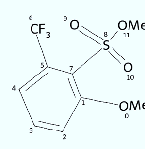 COc1cccc(C(F)(F)F)c1S(=O)(=O)OC